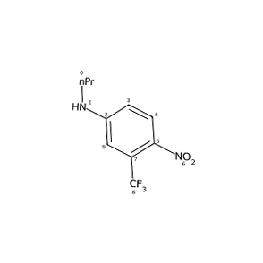 CCCNc1ccc([N+](=O)[O-])c(C(F)(F)F)c1